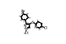 CCn1cc(Sc2ccc(Cl)cn2)c(-c2ccc(Br)cc2)n1